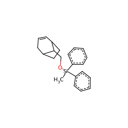 C[Si](OCC1C2C=CCC1CC2)(c1ccccc1)c1ccccc1